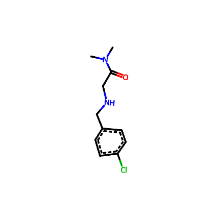 CN(C)C(=O)CNCc1ccc(Cl)cc1